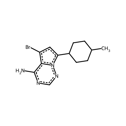 CC1CCC(c2cc(Br)c3c(N)ncnn23)CC1